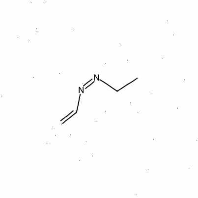 C=C/N=N\CC